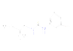 COC(CNC(=S)Nc1cccc(Br)c1)OC